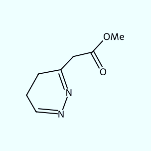 COC(=O)CC1=NN=CCC1